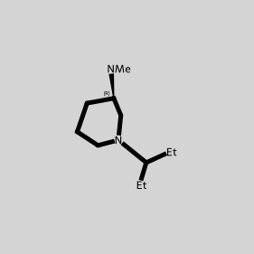 CCC(CC)N1CCC[C@@H](NC)C1